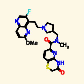 COc1ccc2ncc(F)c(CCN3CCC(CN(C)C(=O)c4ccc5c(n4)NC(=O)CS5)C3)c2n1